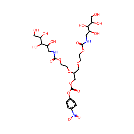 O=C(NCC(O)C(O)C(O)CO)OCCOCC(COC(=O)Oc1ccc([N+](=O)[O-])cc1)OCCOC(=O)NCC(O)C(O)C(O)CO